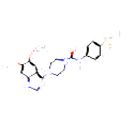 COc1cc2ncnc(N3CCN(C(=O)Nc4ccc(S(C)(=O)=O)cc4)CC3)c2cc1OC